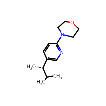 CC(C)[C@H](C)c1ccc(N2CCOCC2)nc1